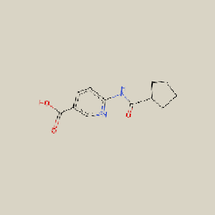 O=C(O)c1ccc(NC(=O)C2CCCC2)nc1